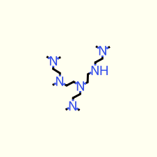 CN(C)CCNCCN(CCN(C)C)CCN(C)CCN(C)C